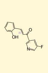 O=C(/C=C/c1ccccc1O)c1cncc(F)c1